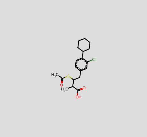 CC(=O)SC(Cc1ccc(C2CCCCC2)c(Cl)c1)C(C)C(=O)O